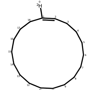 [2H]C1=CCCCCCCCCCCCCCCCC1